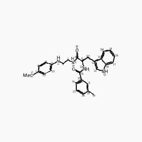 COc1ccc(NCCNC(=O)C(Cc2c[nH]c3ccccc23)NC(=O)c2cccc(C)c2)cc1